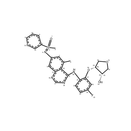 Cc1cc(N=S(C)(=O)c2cccnc2)cc2ncnc(Nc3ccc(F)cc3O[C@@H]3COC[C@@H]3O)c12